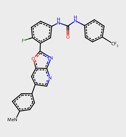 CNc1ccc(-c2cnc3nc(-c4cc(NC(=O)Nc5ccc(C(F)(F)F)cc5)ccc4F)oc3c2)cc1